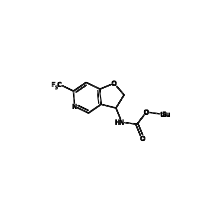 CC(C)(C)OC(=O)NC1COc2cc(C(F)(F)F)ncc21